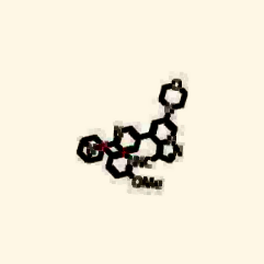 COc1ccc(CN2C3CC2CN(c2ccc(-c4cc(N5CCOCC5)cn5ncc(C#N)c45)cn2)C3)cn1